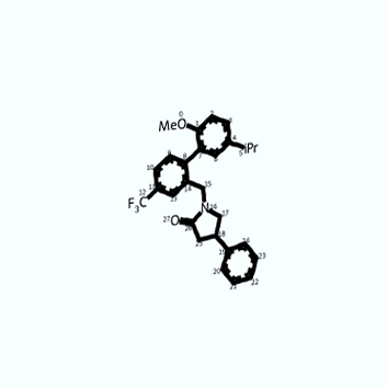 COc1ccc(C(C)C)cc1-c1ccc(C(F)(F)F)cc1CN1CC(c2ccccc2)CC1=O